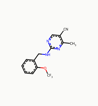 Cc1nc(NCc2ccccc2OC(F)(F)F)ncc1C#N